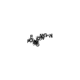 CN(C)CCCOc1cnc(-c2cccc(Cn3nc(-c4cc(F)cc(F)c4)ccc3=O)c2)nc1